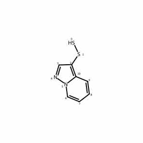 SSc1cnn2ccccc12